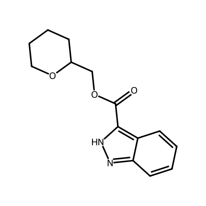 O=C(OCC1CCCCO1)c1[nH]nc2ccccc12